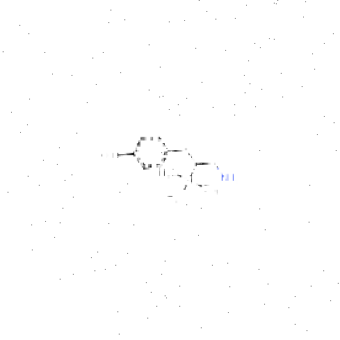 C[Si](C)(C)C(CN)Cc1ccc([N+](=O)[O-])cc1